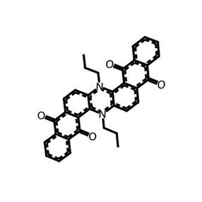 CCCn1c2ccc3c(=O)c4ccccc4c(=O)c3c2n(CCC)c2ccc3c(=O)c4ccccc4c(=O)c3c21